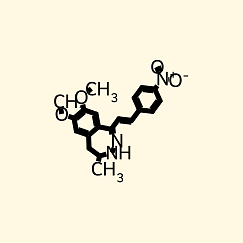 COc1cc2c(cc1OC)C(C=Cc1ccc([N+](=O)[O-])cc1)=NNC(C)C2